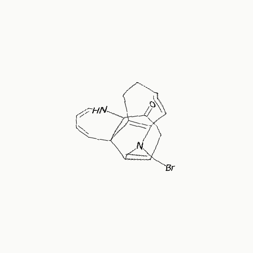 O=C1CC=C2N(Br)C3=C(CCC=C3)C23C=CC=CNC13